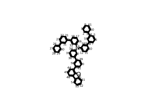 c1ccc(-c2cccc(-c3cccc(N(c4cccc(-c5cccc(-c6ccccc6)c5)c4)c4cccc(-c5cccc(-c6cccc7c6oc6ccccc67)c5)c4)c3)c2)cc1